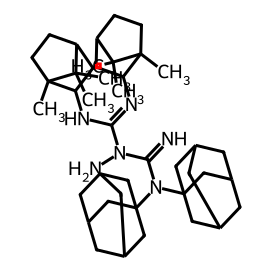 CC1(C)C2CCC1(C)C(N=C(NC1CC3CCC1(C)C3(C)C)N(N)C(=N)N(C13CC4CC(CC(C4)C1)C3)C13CC4CC(CC(C4)C1)C3)C2